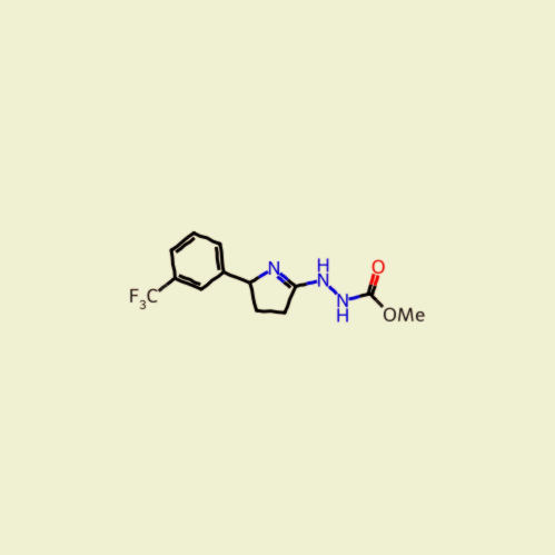 COC(=O)NNC1=NC(c2cccc(C(F)(F)F)c2)CC1